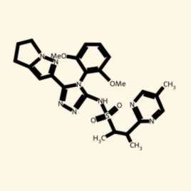 COc1cccc(OC)c1-n1c(NS(=O)(=O)C(C)C(C)c2ncc(C)cn2)nnc1-c1cc2n(n1)CCC2